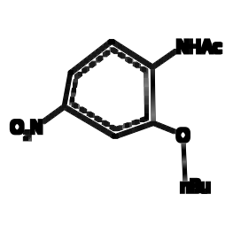 CCCCOc1cc([N+](=O)[O-])ccc1NC(C)=O